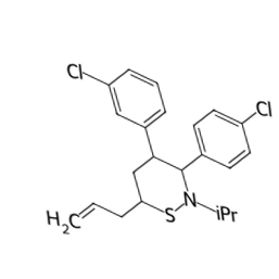 C=CCC1CC(c2cccc(Cl)c2)C(c2ccc(Cl)cc2)N(C(C)C)S1